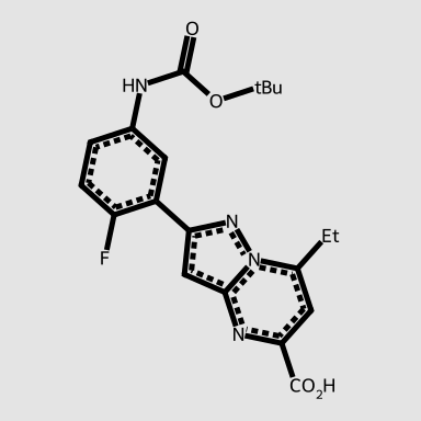 CCc1cc(C(=O)O)nc2cc(-c3cc(NC(=O)OC(C)(C)C)ccc3F)nn12